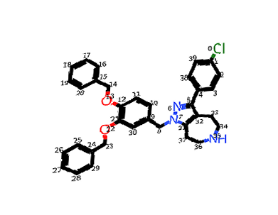 Clc1ccc(-c2nn(Cc3ccc(OCc4ccccc4)c(OCc4ccccc4)c3)c3c2CCNCC3)cc1